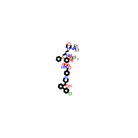 CCN(CC)C[C@H]1COCCN1CC[C@H](CSc1ccccc1)Nc1ccc(S(=O)(=O)NC(=O)c2ccc(N3CCC([C@@H](O)c4ccccc4-c4ccc(Cl)cc4)CC3)cc2)cc1S(=O)(=O)C(F)(F)F